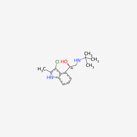 Cc1[nH]c2cccc([C@@H](O)CNC(C)(C)C)c2c1Cl